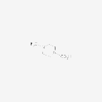 O=C(O)N1CCN(C(F)(F)F)CC1